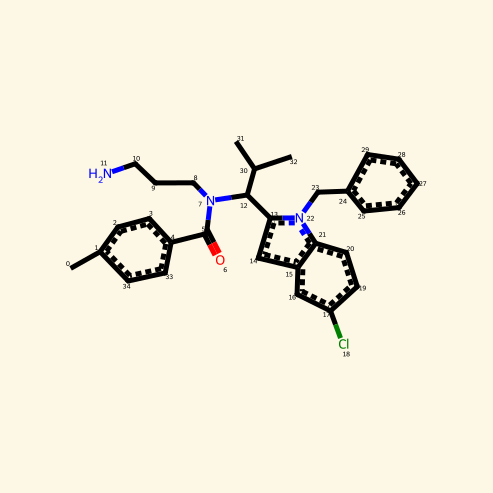 Cc1ccc(C(=O)N(CCCN)C(c2cc3cc(Cl)ccc3n2Cc2ccccc2)C(C)C)cc1